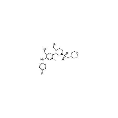 Cc1cc(Nc2ccc(F)cc2)c(C=N)cc1[C@@H]1CN(S(=O)(=O)CC2CCOCC2)CCN1CC(C)C